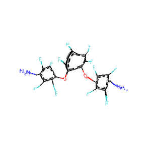 Nc1c(F)c(F)c(Oc2c(F)c(F)c(F)c(F)c2Oc2c(F)c(F)c(N)c(F)c2F)c(F)c1F